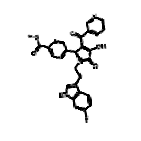 COC(=O)c1ccc(C2C(C(=O)c3cccnc3)=C(O)C(=O)N2CCc2c[nH]c3cc(F)ccc23)cc1